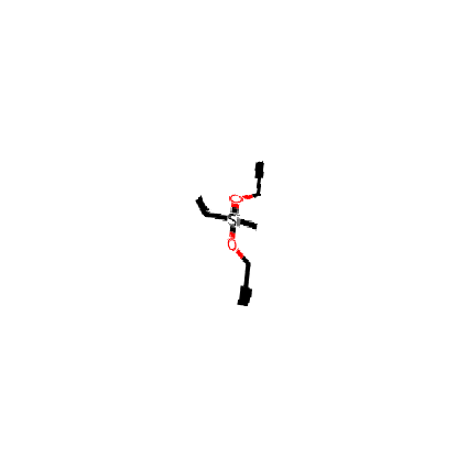 C#CCO[Si](C)(C=C)OCC#C